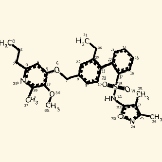 CCCc1cc(OCc2ccc(-c3ccccc3S(=O)(=O)Nc3onc(C)c3C)c(CC)c2)c(OC)c(C)n1